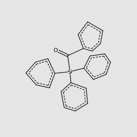 O=C(c1ccccc1)[Si](c1ccccc1)(c1ccccc1)c1ccccc1